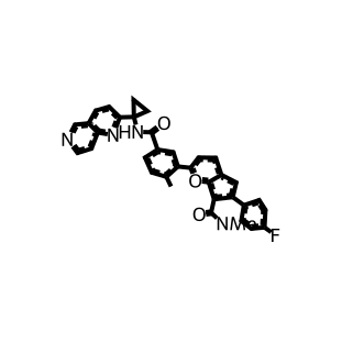 CNC(=O)c1c(-c2ccc(F)cc2)cc2ccc(-c3cc(C(=O)NC4(c5ccc6cnccc6n5)CC4)ccc3C)oc1-2